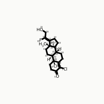 C[C@]12CCC(=O)C(Cl)=C1CC[C@@H]1[C@@H]2CC[C@]2(C)C(=C(F)CO)CC[C@@H]12